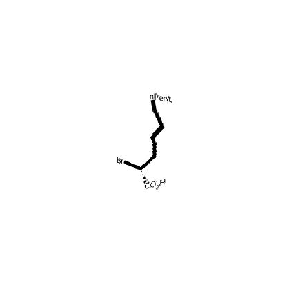 CCCCCCCC[C@@H](Br)C(=O)O